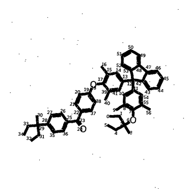 CCC(C)(CC)Oc1c(C)cc(C2(c3cc(C)c(Oc4ccc(C(=O)c5ccc(C(C)(CC)CC)cc5)cc4)c(C)c3)c3ccccc3-c3ccccc32)cc1C